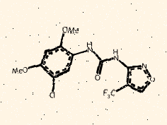 COc1cc(OC)c(NC(=O)Nc2nocc2C(F)(F)F)cc1Cl